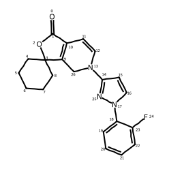 O=C1OC2(CCCCC2)C2=C1C=CN(c1ccn(-c3ccccc3F)n1)C2